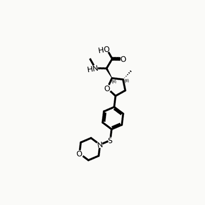 CNC(C(=O)O)[C@@H]1OC(c2ccc(SN3CCOCC3)cc2)C[C@H]1C